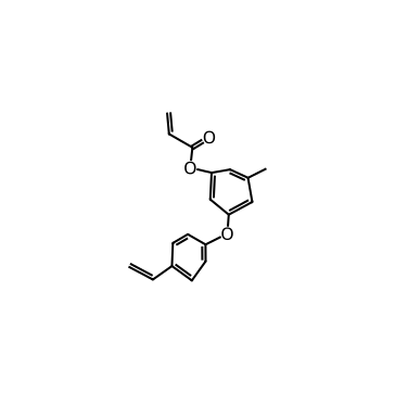 C=CC(=O)Oc1cc(C)cc(Oc2ccc(C=C)cc2)c1